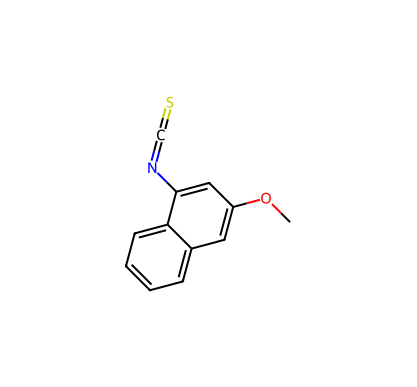 COc1cc(N=C=S)c2ccccc2c1